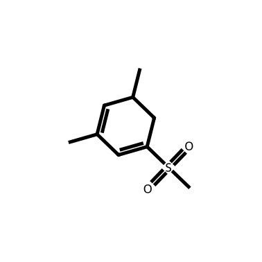 CC1=CC(C)CC(S(C)(=O)=O)=C1